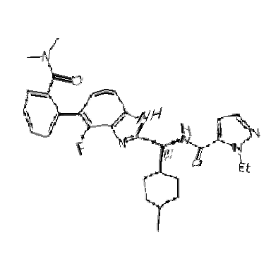 CCn1nccc1C(=O)N[C@H](c1nc2c(F)c(-c3ccccc3C(=O)N(C)C)ccc2[nH]1)C1CCC(C)CC1